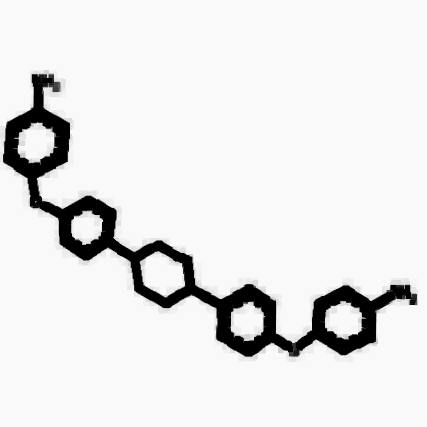 Nc1ccc(Oc2ccc(C3CCC(c4ccc(Oc5ccc(N)cc5)cc4)CC3)cc2)cc1